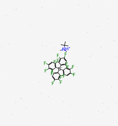 C[NH+](C)C(C)(C)C.Fc1cc(F)c([B-](c2c(F)cc(F)c(F)c2F)(c2c(F)cc(F)c(F)c2F)c2c(F)cc(F)c(F)c2F)c(F)c1F